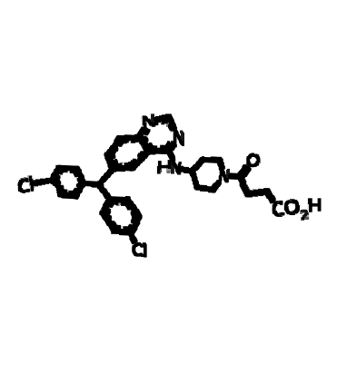 O=C(O)CCC(=O)N1CCC(Nc2ncnc3ccc(C(c4ccc(Cl)cc4)c4ccc(Cl)cc4)cc23)CC1